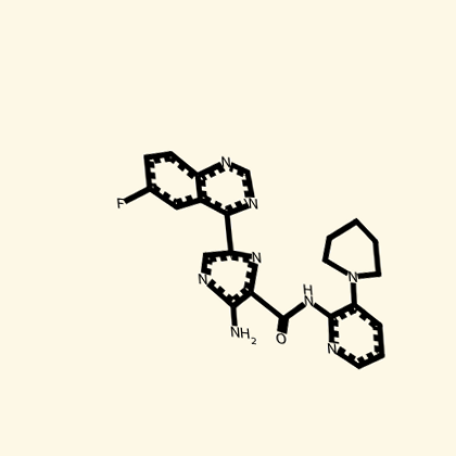 Nc1ncc(-c2ncnc3ccc(F)cc23)nc1C(=O)Nc1ncccc1N1CCCCC1